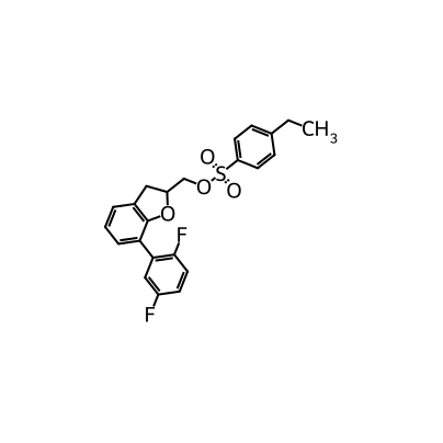 CCc1ccc(S(=O)(=O)OCC2Cc3cccc(-c4cc(F)ccc4F)c3O2)cc1